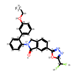 O=C1c2cc(-c3nnc(C(F)F)o3)ccc2CN1c1ccccc1-c1cccc(OCC(F)(F)F)c1